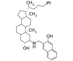 CC(C)CCCC(C)[C@H]1CCC2C3CCC4C[C@@H](O)C(NCc5cc6ccccc6cc5O)C[C@]4(C)C3CC[C@@]21C